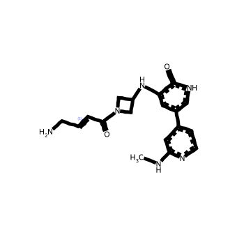 CNc1cc(-c2c[nH]c(=O)c(NC3CN(C(=O)/C=C/CN)C3)c2)ccn1